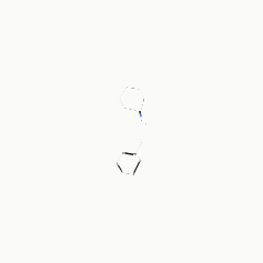 [CH]1CCCC(=NSCc2ccccc2)C1